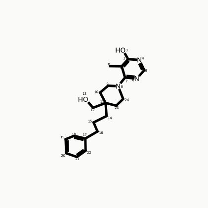 Cc1c(O)ncnc1N1CCC(CO)(CCCc2ccccc2)CC1